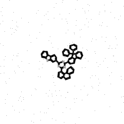 c1ccc(C2(c3ccccc3)c3ccccc3-c3ccc(-c4nc(-c5ccc6c(c5)sc5ccccc56)nc(-c5cccc6ccc7ccccc7c56)n4)cc32)cc1